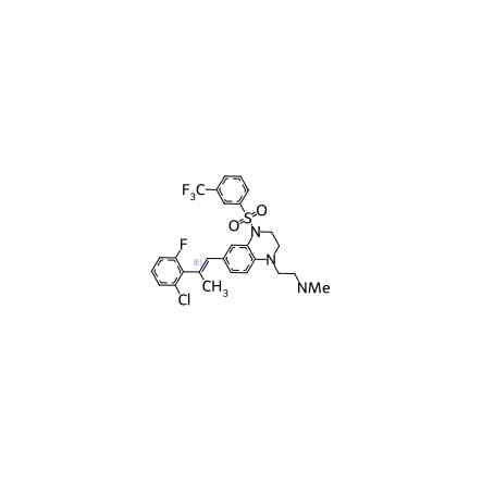 CNCCN1CCN(S(=O)(=O)c2cccc(C(F)(F)F)c2)c2cc(/C=C(\C)c3c(F)cccc3Cl)ccc21